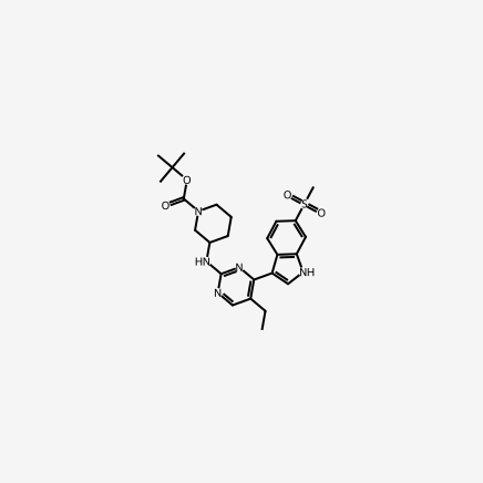 CCc1cnc(NC2CCCN(C(=O)OC(C)(C)C)C2)nc1-c1c[nH]c2cc(S(C)(=O)=O)ccc12